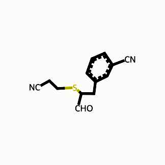 N#CCCSC(C=O)Cc1cccc(C#N)c1